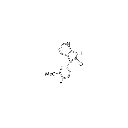 COc1cc(-n2c(=O)[nH]c3ncccc32)ccc1F